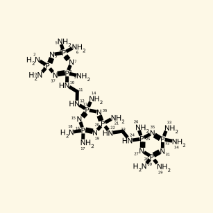 NP1(N)=NP(N)(N)=NP(N)(NCNP2(N)=NP(N)(N)=NP(N)(NCNP3(N)=NP(N)(N)=NP(N)(N)=N3)=N2)=N1